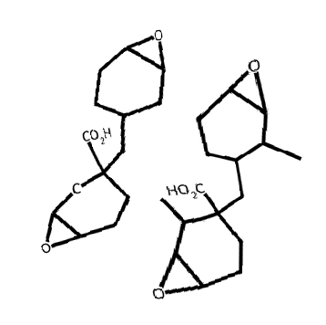 CC1C(CC2(C(=O)O)CCC3OC3C2C)CCC2OC21.O=C(O)C1(CC2CCC3OC3C2)CCC2OC2C1